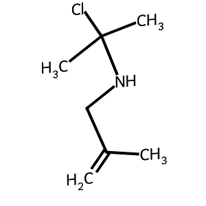 C=C(C)CNC(C)(C)Cl